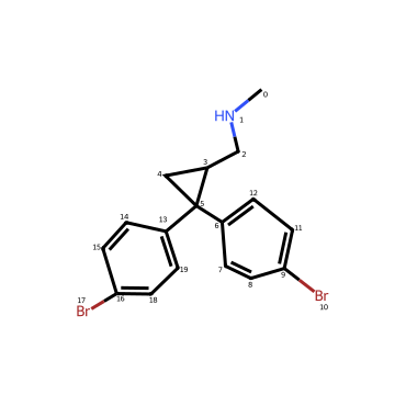 CNCC1CC1(c1ccc(Br)cc1)c1ccc(Br)cc1